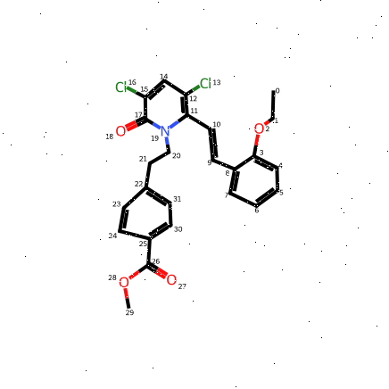 CCOc1ccccc1/C=C/c1c(Cl)cc(Cl)c(=O)n1CCc1ccc(C(=O)OC)cc1